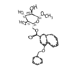 CO[C@@H]1O[C@H](COC(=O)c2cc(OCc3ccccc3)c3ccccc3c2)[C@@H](O)[C@H](O)[C@H]1O